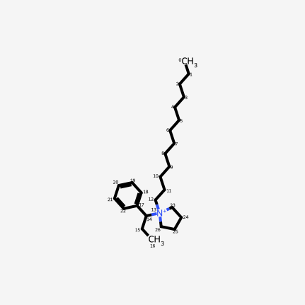 CCCCCCCCCCCCC[N+]1(C(CC)c2ccccc2)CCCC1